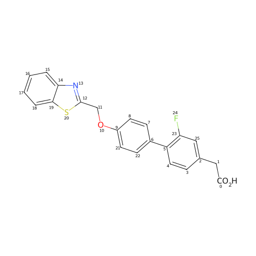 O=C(O)Cc1ccc(-c2ccc(OCc3nc4ccccc4s3)cc2)c(F)c1